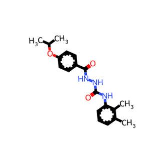 Cc1cccc(NC(=O)NNC(=O)c2ccc(OC(C)C)cc2)c1C